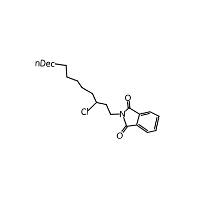 CCCCCCCCCCCCCCCC(Cl)CCN1C(=O)c2ccccc2C1=O